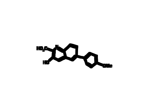 COc1ccc(-c2ccc3nc(C(=O)O)c(O)cc3c2)cc1